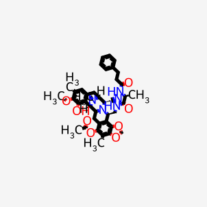 COc1c(C)cc2c(c1O)[C@@H]1C3Cc4c(OC(C)=O)c(C)c5c(c4[C@H](CNC(=O)[C@H](C)NC(=O)CCc4ccccc4)N3[C@@H](C#N)[C@H](C2)N1C)OCO5